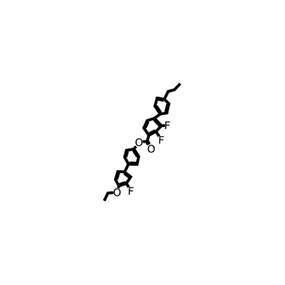 CCCc1ccc(-c2ccc(C(=O)Oc3ccc(-c4ccc(OCC)c(F)c4)cc3)c(F)c2F)cc1